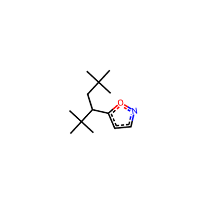 CC(C)(C)CC(c1ccno1)C(C)(C)C